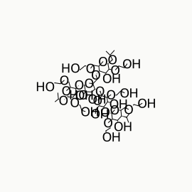 CC(C)O[C@@H]1OC(COCCO)[C@@H](OCC2O[C@@H](O[C@H]3C(COCCO)O[C@@H](OC(C)C)C(OCCO)[C@H]3O)C(O)[C@@H](O)[C@H]2O[C@@H]2OC(CO)[C@H](O[C@@H]3OC(COCCO)[C@@H](C(C)C)[C@H](O)C3OCCO)[C@H](O)C2OCCO)[C@H](O)C1OCCO